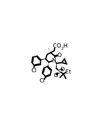 CCC(C)(C)S(=O)(=O)C[C@H](C1CC1)N1C(=O)[C@](C)(CC(=O)O)C[C@H](c2cccc(Cl)c2)[C@H]1c1ccc(Cl)cc1